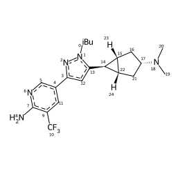 CCC(C)n1nc(-c2cnc(N)c(C(F)(F)F)c2)cc1[C@H]1[C@@H]2C[C@H](N(C)C)C[C@@H]21